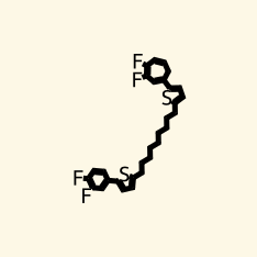 FC1=C(F)C=C(c2ccc(CCCCCCCCCc3ccc(-c4ccc(F)c(F)c4)s3)s2)CC=C1